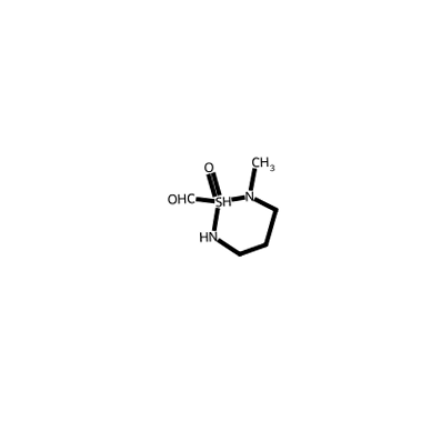 CN1CCCN[SH]1(=O)C=O